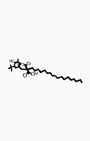 CCCCCCCCCCCCCCCCCCC(Cc1cc(C)c(O)c(C(C)(C)C)c1)(C(=O)O)C(=O)O